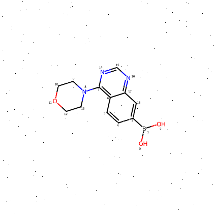 OB(O)c1ccc2c(N3CCOCC3)ncnc2c1